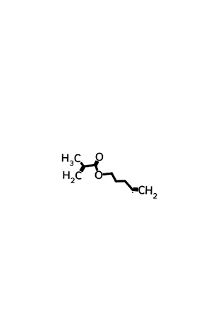 C=[C]CCCOC(=O)C(=C)C